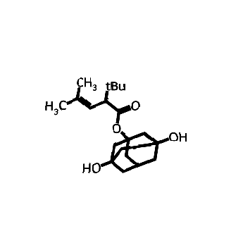 CC(C)=CC(C(=O)OC12CC3CC(O)(CC(O)(C3)C1)C2)C(C)(C)C